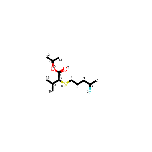 CC(F)CCCSC(C(=O)OC(C)C)C(C)C